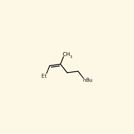 [CH2]CC=C(C)CCCCCC